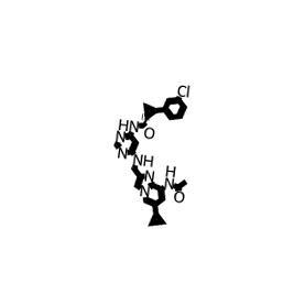 CC(=O)Nc1cc(C2CC2)cn2cc(CNc3cc(NC(=O)[C@H]4CC4c4cccc(Cl)c4)ncn3)nc12